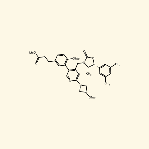 COC(=O)CCc1ccc(OC)c(-c2cnc(N3CC(OC)C3)nc2CN2C(=O)O[C@H](c3cc(C)cc(C(F)(F)F)c3)[C@@H]2C)c1